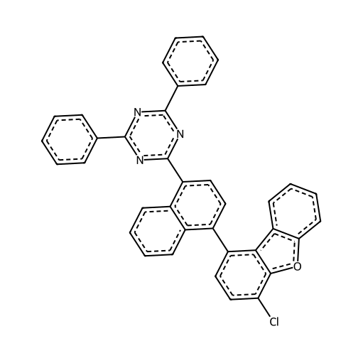 Clc1ccc(-c2ccc(-c3nc(-c4ccccc4)nc(-c4ccccc4)n3)c3ccccc23)c2c1oc1ccccc12